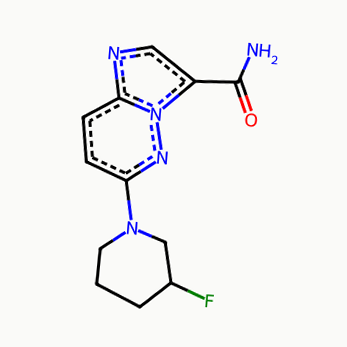 NC(=O)c1cnc2ccc(N3CCCC(F)C3)nn12